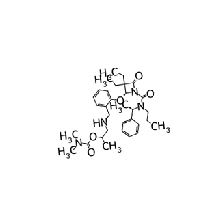 CCCN(C(=O)N1C(=O)C(CC)(CC)[C@@H]1Oc1ccccc1CNCC(C)OC(=O)N(C)C)[C@H](C)c1ccccc1